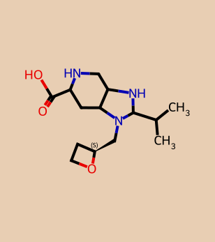 CC(C)C1NC2CNC(C(=O)O)CC2N1C[C@@H]1CCO1